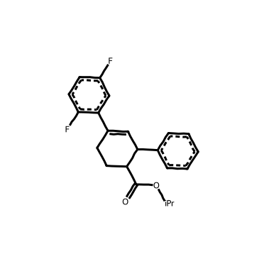 CC(C)OC(=O)C1CCC(c2cc(F)ccc2F)=CC1c1ccccc1